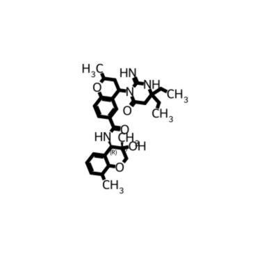 CCC1(CC)CC(=O)N(C2CC(C)Oc3ccc(C(=O)N[C@@H]4C5=CC=CC(C)C5OC[C@@]4(C)O)cc32)C(=N)N1